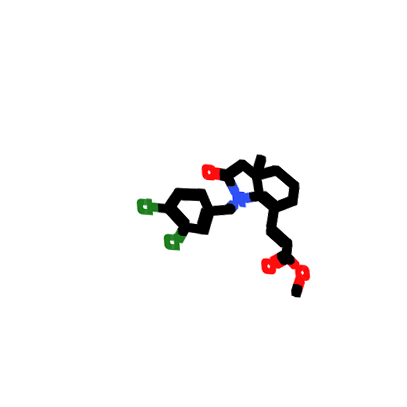 COC(=O)C=CC1=C2N(Cc3ccc(Cl)c(Cl)c3)C(=O)CC2(C)CCC1